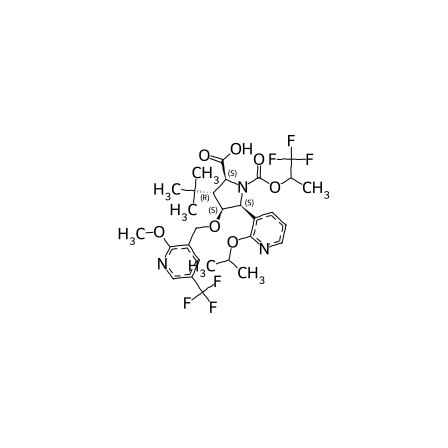 COc1ncc(C(F)(F)F)cc1CO[C@H]1[C@H](C(C)(C)C)[C@@H](C(=O)O)N(C(=O)OC(C)C(F)(F)F)[C@H]1c1cccnc1OC(C)C